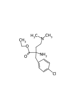 CCOC(=O)C(N)(CCN(C)C)Cc1ccc(Cl)cc1